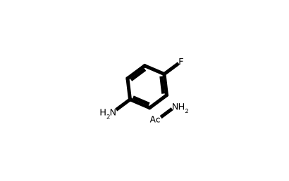 CC(N)=O.Nc1ccc(F)cc1